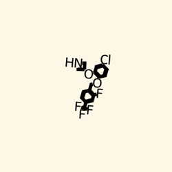 Fc1cc(C(F)(F)F)ccc1COc1ccc(Cl)cc1OC1CNC1